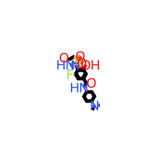 CN(C)[C@H]1CC[C@H](NC(=O)c2cc(O)c(N3NC(=O)CS3(=O)=O)c(F)c2)CC1